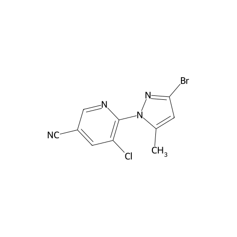 Cc1cc(Br)nn1-c1ncc(C#N)cc1Cl